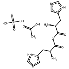 CC(=O)O.N[C@@H](Cc1cnc[nH]1)C(=O)OC(=O)[C@@H](N)Cc1cnc[nH]1.O=S(=O)(O)O